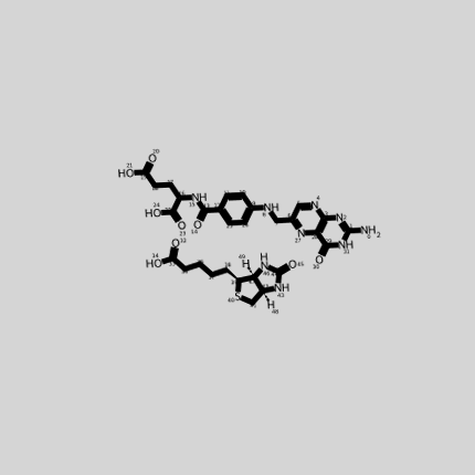 Nc1nc2ncc(CNc3ccc(C(=O)NC(CCC(=O)O)C(=O)O)cc3)nc2c(=O)[nH]1.O=C(O)CCCC[C@@H]1SC[C@@H]2NC(=O)N[C@@H]21